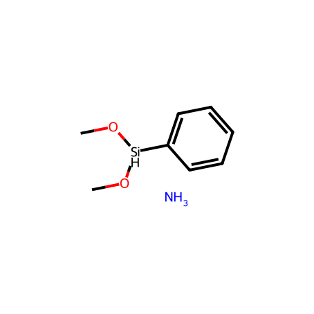 CO[SiH](OC)c1ccccc1.N